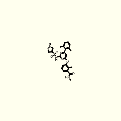 CNC(=O)c1cccc(Oc2cc(-c3c(C)cccc3C)nc(NS(=O)(=O)c3cnn(C)c3)n2)c1C